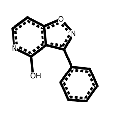 Oc1nccc2onc(-c3ccccc3)c12